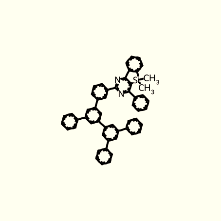 C[Si]1(C)c2ccccc2-c2nc(-c3cccc(-c4cc(-c5ccccc5)cc(-c5cc(-c6ccccc6)cc(-c6ccccc6)c5)c4)c3)nc(-c3ccccc3)c21